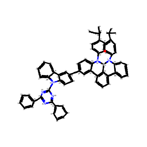 CC(C)(C)c1ccc(N2B3c4c(cccc4-c4cc(-c5ccc6c(c5)c5ccccc5n6-c5nc(-c6ccccc6)nc(-c6ccccc6)n5)ccc4N3c3ccc(C(C)(C)C)cc3)-c3ccccc32)cc1